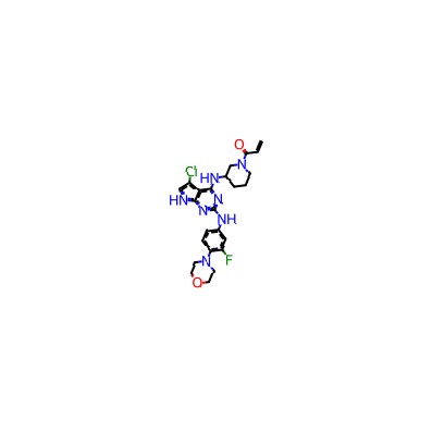 C=CC(=O)N1CCCC(Nc2nc(Nc3ccc(N4CCOCC4)c(F)c3)nc3[nH]cc(Cl)c23)C1